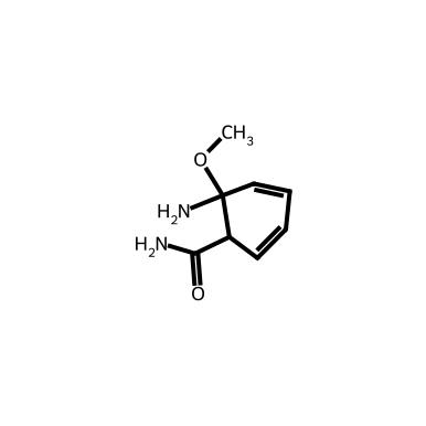 COC1(N)C=CC=CC1C(N)=O